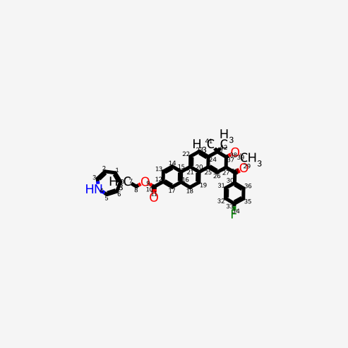 C1=CC=CNC=C1.CCOC(=O)c1ccc2c(c1)CC=c1c-2ccc2c1=CC(C(=O)c1ccc(F)cc1)C(OC)C2(C)C